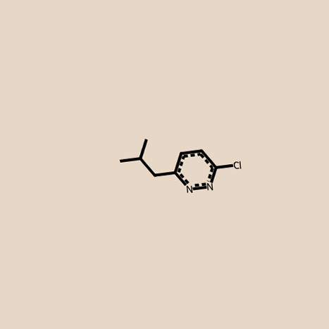 C[C](C)Cc1ccc(Cl)nn1